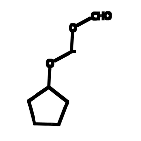 O=CO[CH]OC1CCCC1